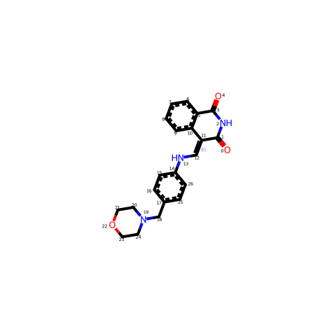 O=C1NC(=O)c2ccccc2/C1=C\Nc1ccc(CN2CCOCC2)cc1